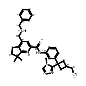 Cn1cnnc1C1(c2cccc(NC(=O)c3cc(CNCc4ccccc4)c4c(n3)C(C)(C)CC4)c2)CC(CC#N)C1